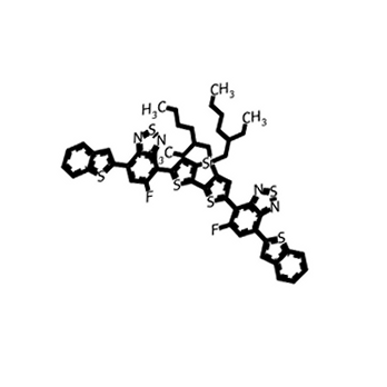 CCCCC(CC)C[Si]1(CC(CC)CCCC)c2cc(-c3c(F)cc(-c4cc5ccccc5s4)c4nsnc34)sc2-c2sc(-c3c(F)cc(-c4cc5ccccc5s4)c4nsnc34)cc21